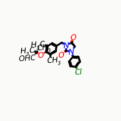 Cc1cc(CN2C(=O)CN(c3ccc(Cl)cc3)C2=O)cc(C)c1OC(C)(C)C=O